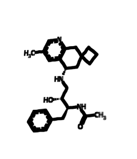 CC(=O)N[C@@H](Cc1ccccc1)[C@H](O)CN[C@H]1CC2(CCC2)Cc2ncc(C)cc21